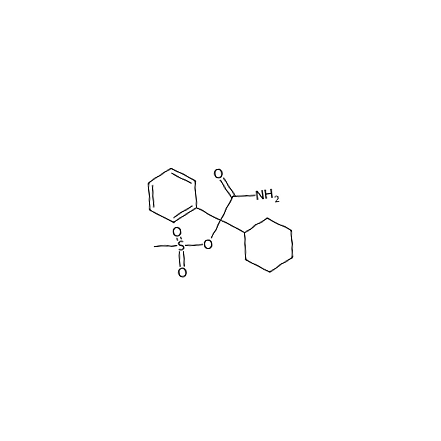 CS(=O)(=O)OC(C(N)=O)(c1ccccc1)C1CCCCC1